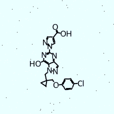 O=C(O)c1cnn(-c2nc(O)c3c(cnn3CC3(COc4ccc(Cl)cc4)CC3)n2)c1